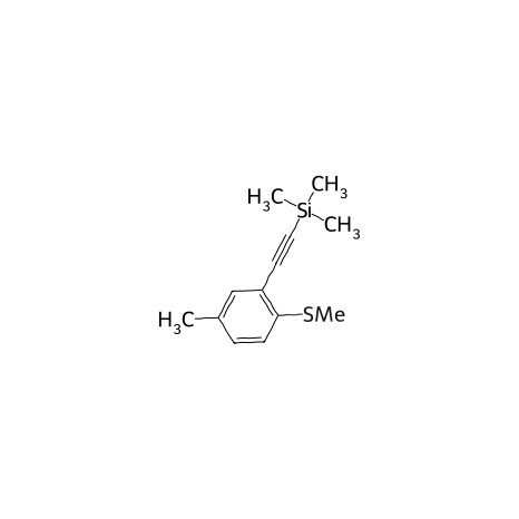 CSc1ccc(C)cc1C#C[Si](C)(C)C